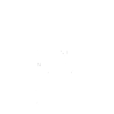 CSCCc1ncc(Cc2ccccc2)[nH]c1=O